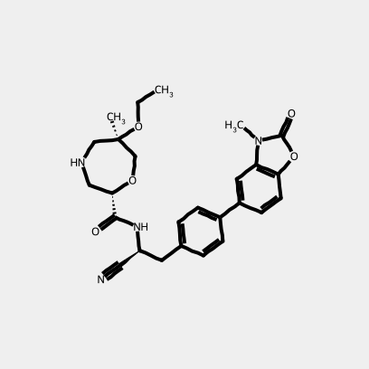 CCO[C@]1(C)CNC[C@@H](C(=O)N[C@H](C#N)Cc2ccc(-c3ccc4oc(=O)n(C)c4c3)cc2)OC1